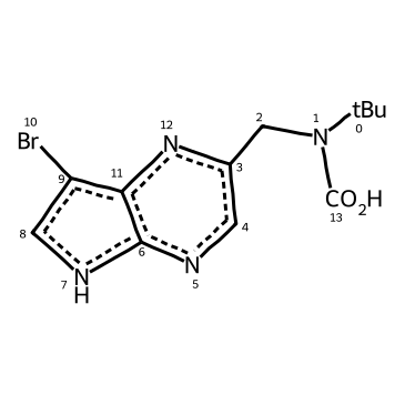 CC(C)(C)N(Cc1cnc2[nH]cc(Br)c2n1)C(=O)O